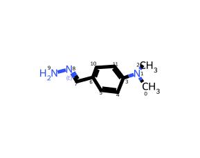 CN(C)c1ccc(/C=N/N)cc1